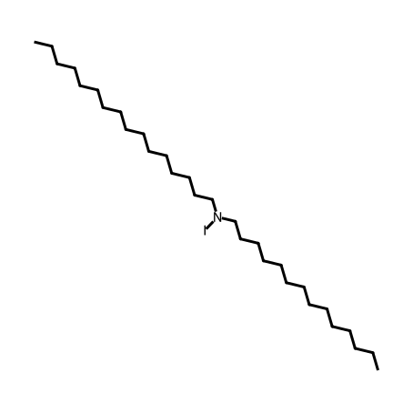 CCCCCCCCCCCCCCCCN(I)CCCCCCCCCCCCCC